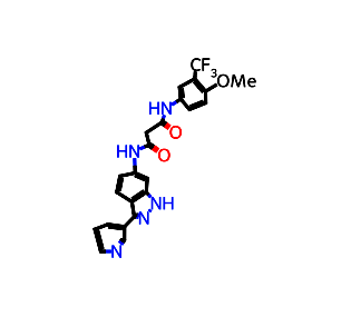 COc1ccc(NC(=O)CC(=O)Nc2ccc3c(-c4cccnc4)n[nH]c3c2)cc1C(F)(F)F